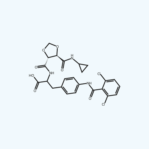 O=C(Nc1ccc(CC(NC(=O)[C@@H]2OCO[C@H]2C(=O)NC2CC2)C(=O)O)cc1)c1c(Cl)cccc1Cl